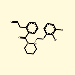 O=CCc1ccccc1C(=O)N1CCCC[C@H]1COc1cccc(O)c1Br